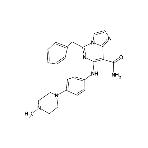 CN1CCN(c2ccc(Nc3nc(Cc4ccccc4)n4ccnc4c3C(N)=O)cc2)CC1